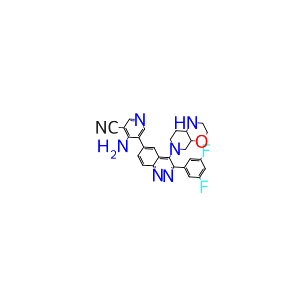 N#Cc1cncc(-c2ccc3nnc(-c4cc(F)cc(F)c4)c(N4CCC5NCCOC5C4)c3c2)c1N